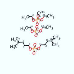 CC(C)CCCOP(=O)([O-])OCCCC(C)C.CCOP(=O)([O-])OCC.CCOP(=O)([O-])OCC.[Cr+3]